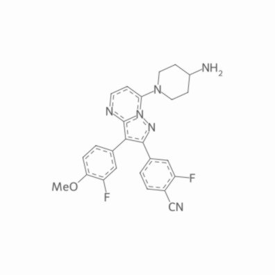 COc1ccc(-c2c(-c3ccc(C#N)c(F)c3)nn3c(N4CCC(N)CC4)ccnc23)cc1F